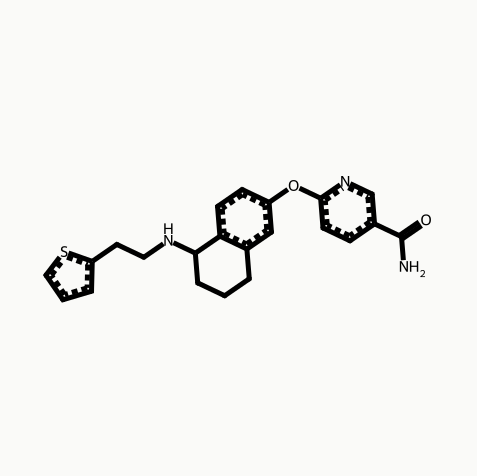 NC(=O)c1ccc(Oc2ccc3c(c2)CCCC3NCCc2cccs2)nc1